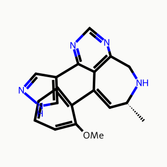 COc1ccccc1C1=C[C@@H](C)NCc2ncnc(-c3cn[nH]c3)c21